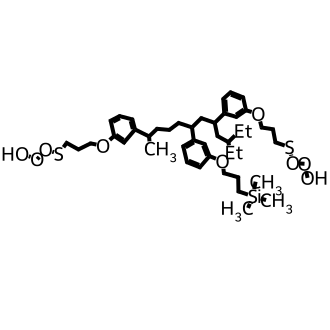 CCC(CC)CC(CC(CCCC(C)c1cccc(OCCCSOOO)c1)c1cccc(OCCC[Si](C)(C)C)c1)c1cccc(OCCCSOOO)c1